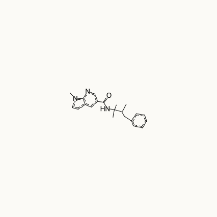 CC(Cc1ccccc1)C(C)(C)NC(=O)c1cnc2c(ccn2C)c1